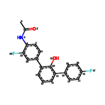 CC(=O)Nc1ccc(-c2cccc(-c3ccc(F)cc3)c2O)cc1F